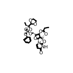 CCC(=O)O[C@@H]1[C@@H](COP(=O)(Oc2ccccc2)O[C@@H](CC)C2OCCO2)O[C@@H](n2ccc(=O)[nH]c2=O)[C@]1(C)F